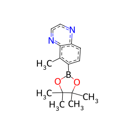 Cc1c(B2OC(C)(C)C(C)(C)O2)ccc2nccnc12